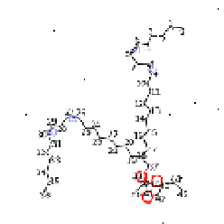 CCCCC/C=C\C/C=C\CCCCCCCCC(CCCCCCC/C=C\C/C=C\CCCCCC)COC1(C)OCC(CC)O1